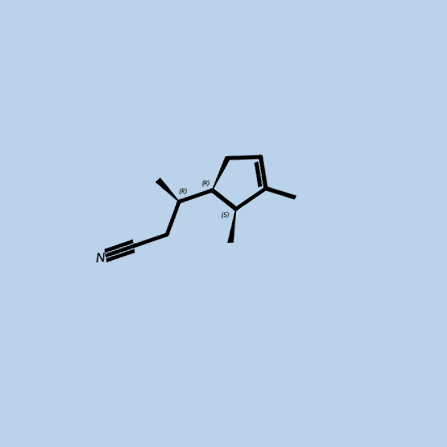 CC1=CC[C@H]([C@H](C)CC#N)[C@@H]1C